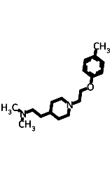 Cc1ccc(OCCN2CCC(CCN(C)C)CC2)cc1